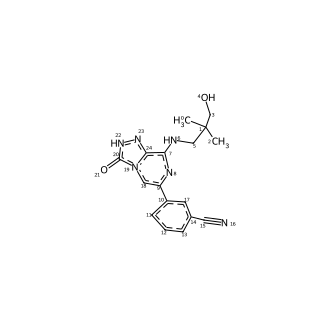 CC(C)(CO)CNc1nc(-c2cccc(C#N)c2)cn2c(=O)[nH]nc12